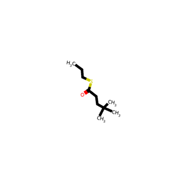 CCCSC(=O)CCC(C)(C)C